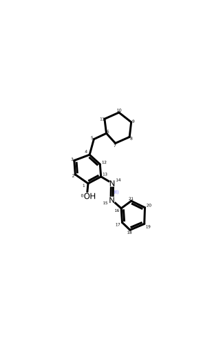 Oc1ccc(CC2CCCCC2)cc1/N=N/c1ccccc1